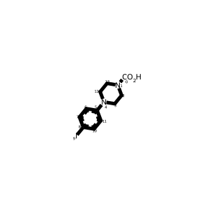 O=C(O)N1CCN(c2ccc(I)cc2)CC1